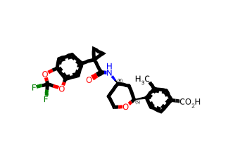 Cc1cc(C(=O)O)ccc1[C@@H]1C[C@H](NC(=O)C2(c3ccc4c(c3)OC(F)(F)O4)CC2)CCO1